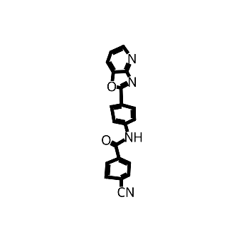 N#Cc1ccc(C(=O)Nc2ccc(-c3nc4ncccc4o3)cc2)cc1